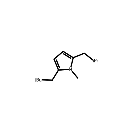 CC(C)Cc1ccc(CC(C)(C)C)n1C